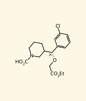 CCOC(=O)CO[C@@H](c1cccc(Cl)c1)C1CCCN(C(=O)O)C1